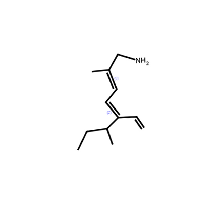 C=C/C(=C\C=C(/C)CN)C(C)CC